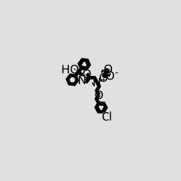 CS(=O)(=O)[O-].C[N+](C)(CCOCc1ccc(Cl)cc1)Cc1cnc([C@](O)(c2ccccc2)C2CCCCC2)o1